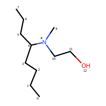 CCCCC(CCC)N(C)CCO